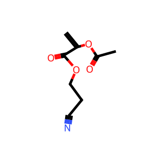 C=C(OC(C)=O)C(=O)OCCC#N